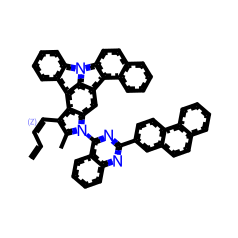 C=C/C=C\c1c(C)n(-c2nc(-c3ccc4c(ccc5ccccc54)c3)nc3ccccc23)c2cc3c4c5ccccc5ccc4n4c5ccccc5c(c12)c34